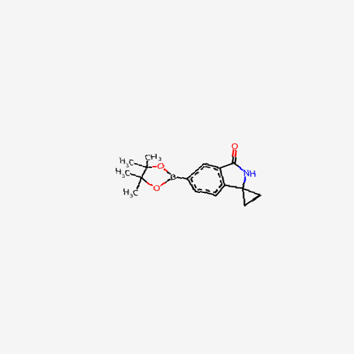 CC1(C)OB(c2ccc3c(c2)C(=O)NC32CC2)OC1(C)C